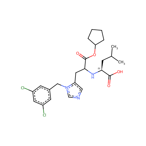 CC(C)C[C@H](NC(Cc1cncn1Cc1cc(Cl)cc(Cl)c1)C(=O)OC1CCCC1)C(=O)O